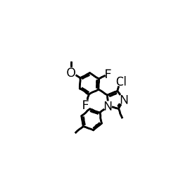 COc1cc(F)c(-c2c(Cl)nc(C)n2-c2ccc(C)cc2)c(F)c1